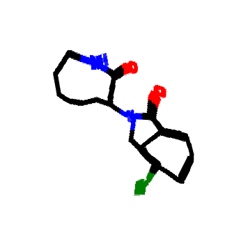 O=C1NCCCCC1N1Cc2c(Br)cccc2C1=O